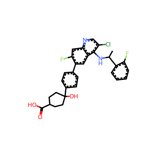 CC(Nc1c(Cl)cnc2cc(F)c(-c3ccc(C4(O)CCC(C(=O)O)CC4)cc3)cc12)c1ccccc1F